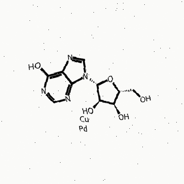 OC[C@H]1O[C@@H](n2cnc3c(O)ncnc32)[C@H](O)[C@@H]1O.[Cu].[Pd]